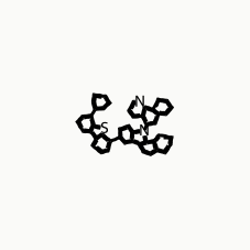 c1ccc(-c2cccc3c2sc2c(-c4ccc5c(c4)c4ccc6ccccc6c4n5-c4cc5ccccc5c5ncccc45)cccc23)cc1